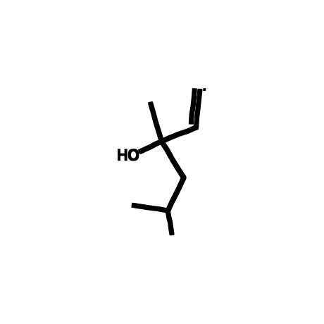 [CH]=CC(C)(O)CC(C)C